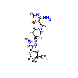 C=C/N=C(N)\C(Br)=C(/C)N1CCC(c2nc(-c3ccc(F)c(C(F)(F)F)c3)cn2C)CC1